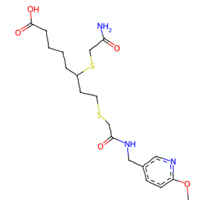 COc1ccc(CNC(=O)CSCCC(CCCCC(=O)O)SCC(N)=O)cn1